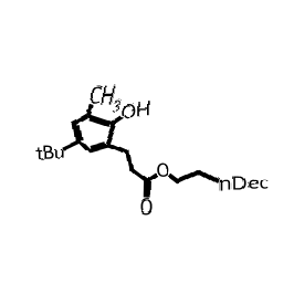 CCCCCCCCCCCCOC(=O)CCc1cc(C(C)(C)C)cc(C)c1O